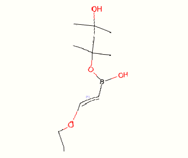 CCO/C=C/B(O)OC(C)(C)C(C)(C)O